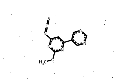 COc1nc(N=C=S)cc(-c2cncnc2)n1